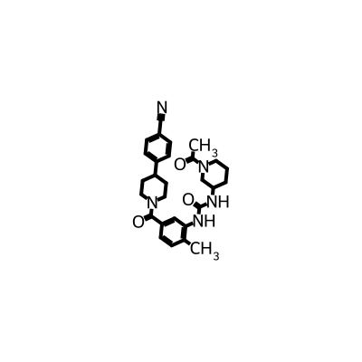 CC(=O)N1CCCC(NC(=O)Nc2cc(C(=O)N3CCC(c4ccc(C#N)cc4)CC3)ccc2C)C1